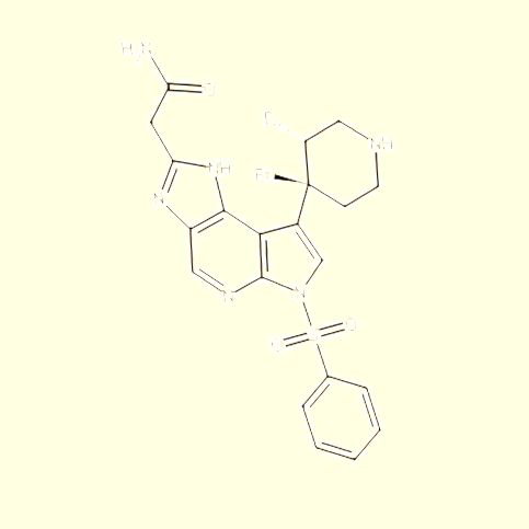 CC[C@]1(c2cn(S(=O)(=O)c3ccccc3)c3ncc4nc(CC(N)=O)[nH]c4c23)CCNC[C@H]1F